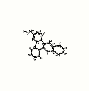 Nc1nnc(-c2ccc3ncccc3c2)c(-c2ccccc2)n1